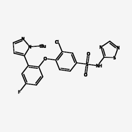 CC(C)(C)n1nccc1-c1cc(F)ccc1Oc1ccc(S(=O)(=O)Nc2ncns2)cc1Cl